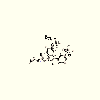 Cc1c(-c2cncc(S(=O)(=O)N(C)C)c2)c2cc(OC(F)(F)F)ccc2n1C/C(F)=C/CN.Cl.Cl